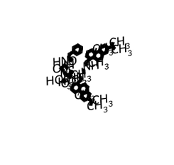 CC(C)c1ccc2c(c1)CCC1[C@](C)(CNCCNC[C@@]3(C)CCC[C@]4(C)c5ccc(C(C)C)cc5CCC34)CCC[C@]21C.CC1(C)S[C@@H]2[C@H](NC(=O)Cc3ccccc3)C(=O)N2[C@H]1C(=O)O